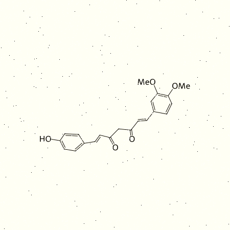 COc1ccc(C=CC(=O)CC(=O)C=Cc2ccc(O)cc2)cc1OC